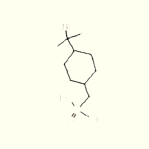 CCC(N)(C(=O)O)C1CCC(CP(=O)(O)O)CC1